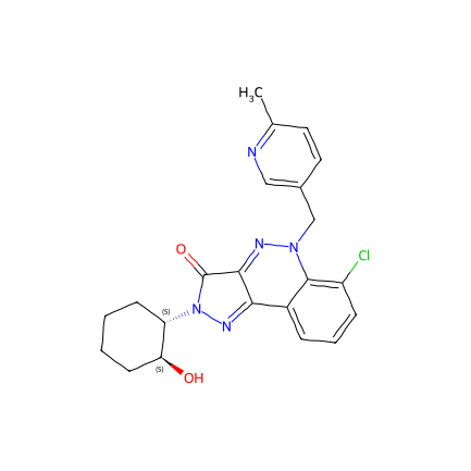 Cc1ccc(Cn2nc3c(=O)n([C@H]4CCCC[C@@H]4O)nc-3c3cccc(Cl)c32)cn1